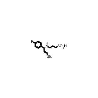 CC(C)(C)/C=C/[C@@H](NCCCS(=O)(=O)O)c1ccc(F)cc1